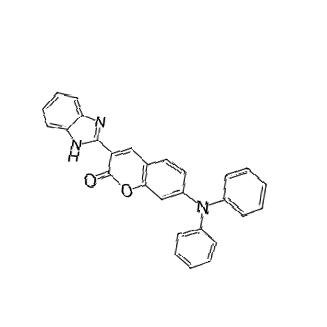 O=c1oc2cc(N(c3ccccc3)c3ccccc3)ccc2cc1-c1nc2ccccc2[nH]1